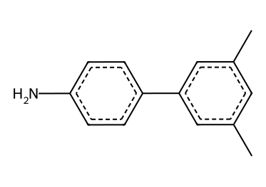 Cc1cc(C)cc(-c2ccc(N)cc2)c1